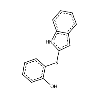 Oc1ccccc1Sc1cc2ccccc2[nH]1